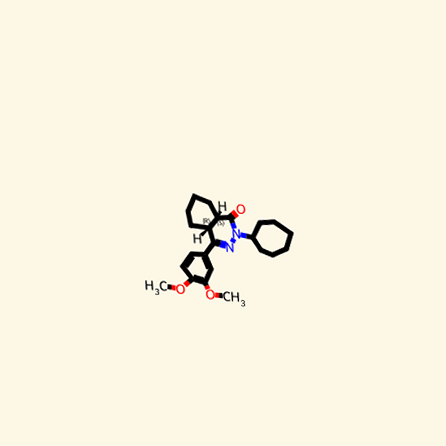 COc1ccc(C2=NN(C3CCCCCC3)C(=O)[C@H]3CCCC[C@@H]23)cc1OC